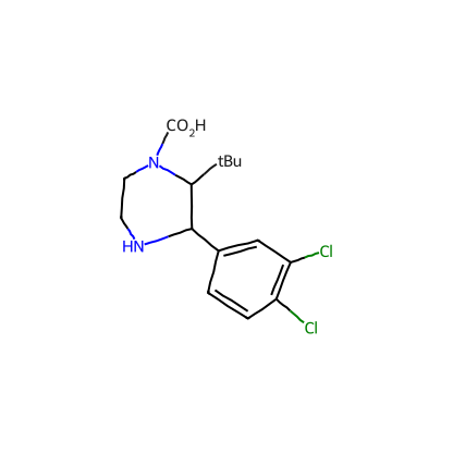 CC(C)(C)C1C(c2ccc(Cl)c(Cl)c2)NCCN1C(=O)O